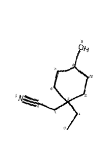 CCC1(CC#N)CCC(O)CC1